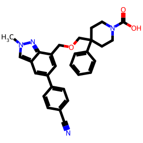 Cn1cc2cc(-c3ccc(C#N)cc3)cc(COCC3(c4ccccc4)CCN(C(=O)O)CC3)c2n1